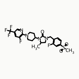 CC1CN(Cc2ccc(S(C)(=O)=O)cc2F)C(=O)N1C1CCN(c2ncc(C(F)(F)F)cc2F)CC1